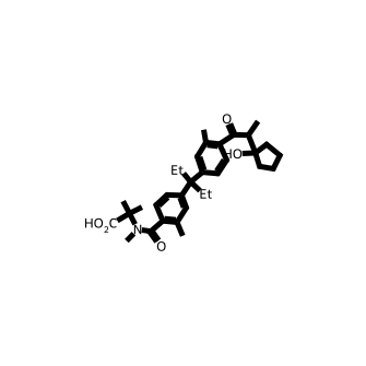 CCC(CC)(c1ccc(C(=O)C(C)C2(O)CCCC2)c(C)c1)c1ccc(C(=O)N(C)C(C)(C)C(=O)O)c(C)c1